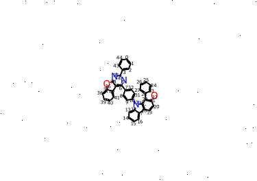 c1ccc(-c2nc(-c3ccc(-n4c5ccccc5c5ccc6oc7ccccc7c6c54)cc3)c3c(n2)oc2ccccc23)cc1